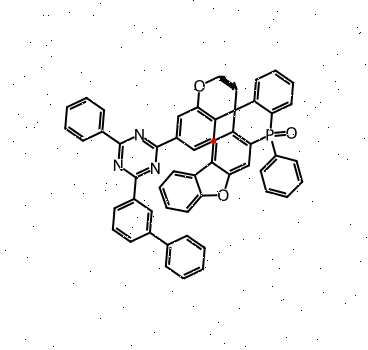 O=P1(c2ccccc2)c2ccccc2C2(c3ccccc3Oc3cc(-c4nc(-c5ccccc5)nc(-c5cccc(-c6ccccc6)c5)n4)ccc32)c2cc3c(cc21)oc1ccccc13